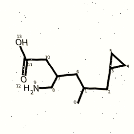 CC(CC1CC1)CC(CN)CC(=O)O